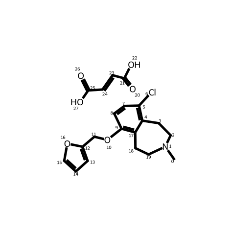 CN1CCc2c(Cl)ccc(OCc3ccco3)c2CC1.O=C(O)C=CC(=O)O